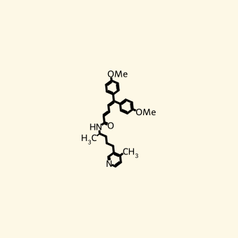 COc1ccc(C(=C/C=C/C(=O)N[C@H](C)CCCc2cnccc2C)c2ccc(OC)cc2)cc1